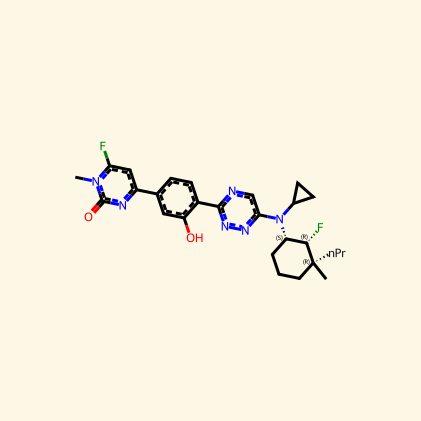 CCC[C@]1(C)CCC[C@H](N(c2cnc(-c3ccc(-c4cc(F)n(C)c(=O)n4)cc3O)nn2)C2CC2)[C@@H]1F